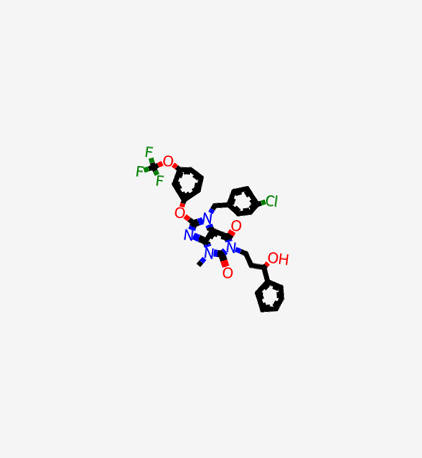 Cn1c(=O)n(CCC(O)c2ccccc2)c(=O)c2c1nc(Oc1cccc(OC(F)(F)F)c1)n2Cc1ccc(Cl)cc1